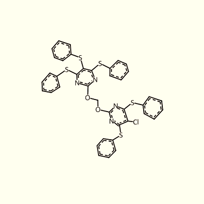 Clc1c(Sc2ccccc2)nc(OCOc2nc(Sc3ccccc3)c(Sc3ccccc3)c(Sc3ccccc3)n2)nc1Sc1ccccc1